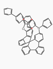 c1ccc(-c2ccc(-c3ccc(N(c4ccccc4)c4ccc5c(c4)C4(c6ccccc6-c6ccccc6-5)c5ccccc5-c5c4ccc4c5oc5ccccc54)cc3)cc2)cc1